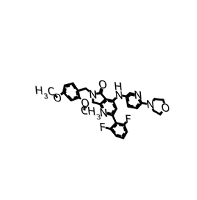 COc1ccc(CN2Cc3nc(-c4c(F)cccc4F)cc(Nc4ccc(N5CCOCC5)nc4)c3C2=O)c(OC)c1